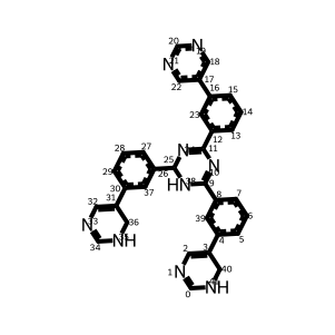 C1=NC=C(c2cccc(C3=NC(c4cccc(-c5cncnc5)c4)=NC(c4cccc(C5=CN=CNC5)c4)N3)c2)CN1